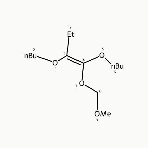 CCCCO/C(CC)=C(/OCCCC)OCOC